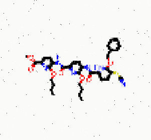 CCCCOc1nc(C(=O)Nc2ccc(C(=O)OC)nc2OCCCC)ccc1NC(=O)c1ccc(SC#N)c(OCc2ccccc2)n1